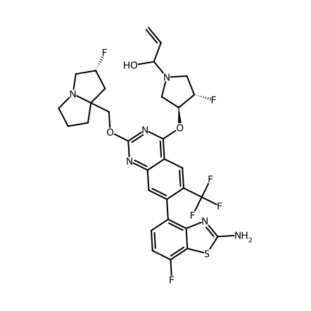 C=CC(O)N1C[C@H](Oc2nc(OCC34CCCN3C[C@H](F)C4)nc3cc(-c4ccc(F)c5sc(N)nc45)c(C(F)(F)F)cc23)[C@@H](F)C1